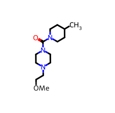 COCCN1CCN(C(=O)N2CCC(C)CC2)CC1